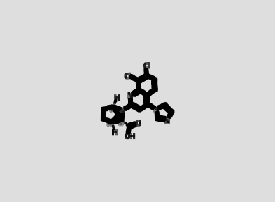 O=C(O)[C@@H]1[C@H]2CC[C@H](C2)N1c1cc(-n2ccnc2)c2ccc(Cl)c(Cl)c2n1